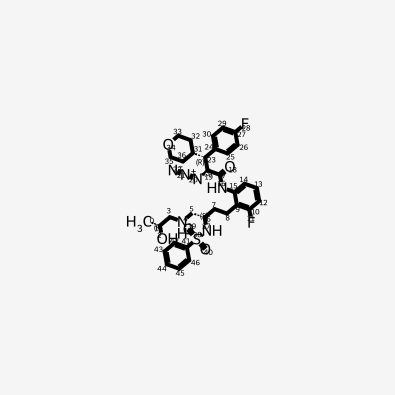 C[C@@H](O)CNC[C@H](CCc1c(F)cccc1NC(=O)[C@@H](N=[N+]=[N-])[C@@H](c1ccc(F)cc1)C1CCOCC1)NS(=O)(=O)c1ccccc1